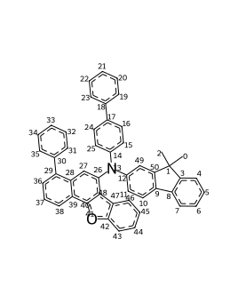 CC1(C)c2ccccc2-c2ccc(N(c3ccc(-c4ccccc4)cc3)c3cc4c(-c5ccccc5)cccc4c4oc5ccccc5c34)cc21